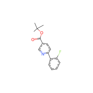 CC(C)(C)OC(=O)c1ccc(-c2ccccc2F)nc1